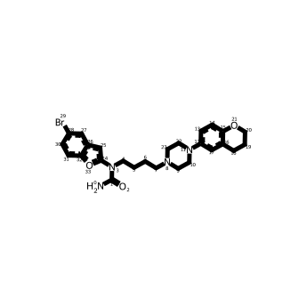 NC(=O)N(CCCCN1CCN(c2ccc3c(c2)CCCO3)CC1)c1cc2cc(Br)ccc2o1